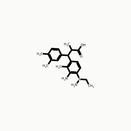 CCN(N)c1ccc(C(c2ccc(C)c(C)c2)C(C)C(=O)O)c(C)c1N